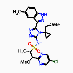 COCC1(n2c(NS(=O)(=O)[C@@H](C)[C@H](OC)c3ncc(Cl)cn3)nnc2-c2n[nH]c3ccc(C)cc23)CC1